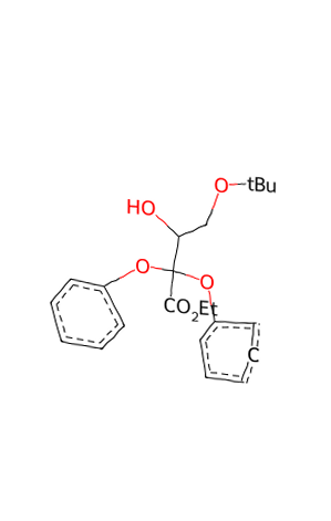 CCOC(=O)C(Oc1ccccc1)(Oc1ccccc1)C(O)COC(C)(C)C